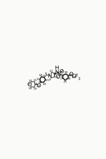 O=S(=O)(N[C@@H]1CCN(Cc2ccc(OC3CCOCC3)cc2)C1)c1cccc(OC(F)(F)F)c1